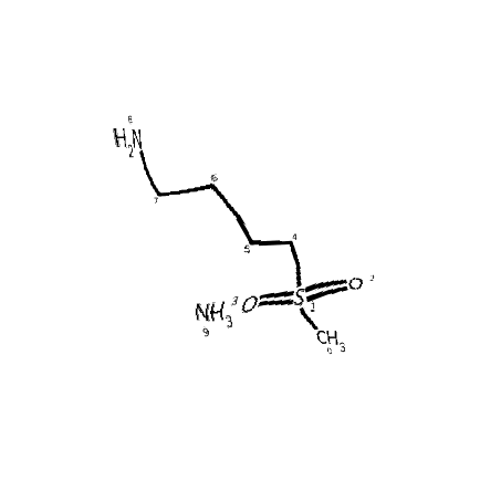 CS(=O)(=O)CCCCN.N